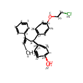 CC=C(c1ccccc1)C(c1ccc(O)cc1)c1ccc(OCCCl)cc1